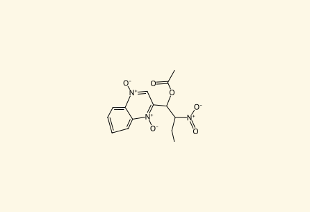 CCC(C(OC(C)=O)c1c[n+]([O-])c2ccccc2[n+]1[O-])[N+](=O)[O-]